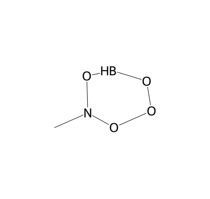 CN1OBOOO1